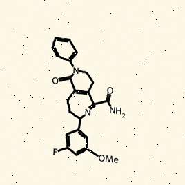 COc1cc(F)cc(C2CCC3=C(CCN(c4ccccc4)C3=O)C(C(N)=O)=N2)c1